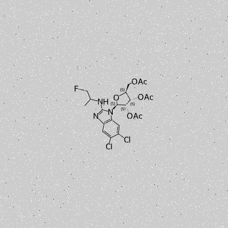 CC(=O)OC[C@@H]1O[C@H](n2c(NC(C)CF)nc3cc(Cl)c(Cl)cc32)[C@@H](OC(C)=O)[C@H]1OC(C)=O